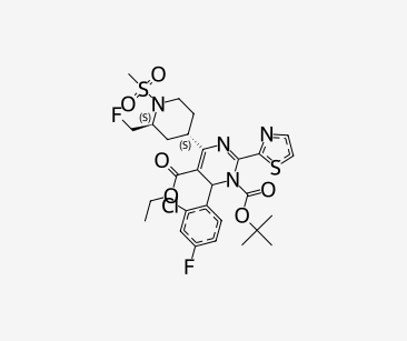 CCOC(=O)C1=C([C@H]2CCN(S(C)(=O)=O)[C@H](CF)C2)N=C(c2nccs2)N(C(=O)OC(C)(C)C)C1c1ccc(F)cc1Cl